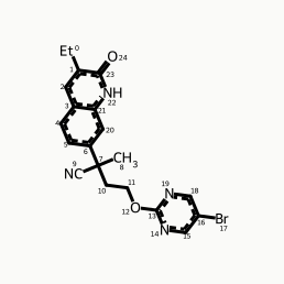 CCc1cc2ccc(C(C)(C#N)CCOc3ncc(Br)cn3)cc2[nH]c1=O